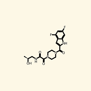 C[C@H](O)CNC(=O)C(=O)N1CCN(C(=O)c2cc3c(F)cc(F)cc3[nH]2)CC1